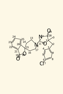 CC1(Cc2ccc(Cl)cc2)OC(N2CCC3(CC2)OC(=O)c2ccccc23)=NC1=O